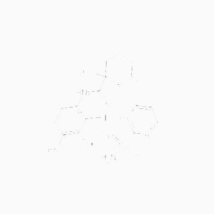 CC1(C(=O)Nc2ccc(O)c(Cl)c2Cl)CCCCC1.NS(=O)(=O)c1ccccc1